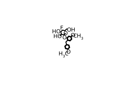 COc1ccc(Cc2ccc(OC)cc2OC2OC(CO)C(F)C(O)C2O)cc1